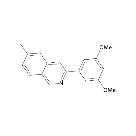 COc1cc(OC)cc(-c2cc3cc(C)ccc3cn2)c1